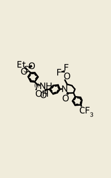 CCS(=O)(=O)c1ccc([C@H](CO)NC(=O)c2ccc(N3C(=O)C(c4ccc(C(F)(F)F)cc4)CCC3COC(F)F)cc2)cc1